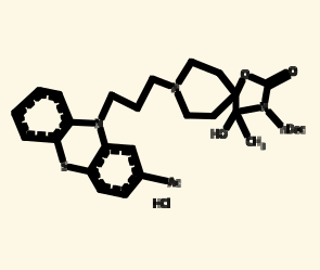 CCCCCCCCCCN1C(=O)OC2(CCN(CCCN3c4ccccc4Sc4ccc(C(C)=O)cc43)CC2)C1(C)O.Cl